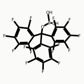 OB(O)OC(c1c(F)c(F)c(F)c(F)c1F)(c1c(F)c(F)c(F)c(F)c1F)c1c(F)c(F)c(F)c(F)c1F